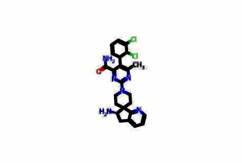 Cc1nc(N2CCC3(CC2)c2ncccc2C[C@H]3N)nc(C(N)=O)c1C1C=CC=C(Cl)C1Cl